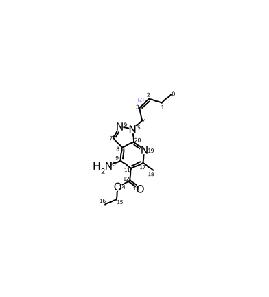 CC/C=C\Cn1ncc2c(N)c(C(=O)OCC)c(C)nc21